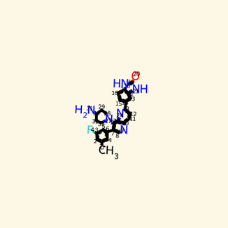 Cc1cc(F)cc(-c2cnc3ccc(-c4ccc5[nH]c(=O)[nH]c5c4)nc3c2N2CCC(N)CC2)c1